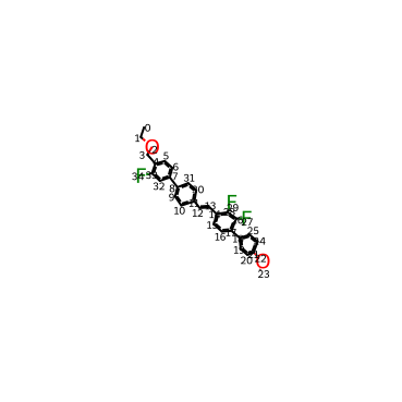 CCOCc1ccc(-c2ccc(/C=C/c3ccc(-c4ccc(OC)cc4)c(F)c3F)cc2)cc1F